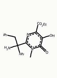 CCCC(N)(CC(C)C)c1nc(C(=O)OCC)c(O)c(=O)n1C